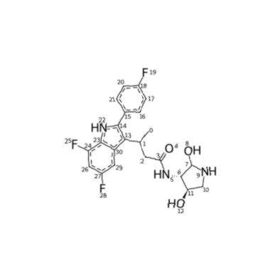 CC(CC(=O)N[C@@H]1C(O)NC[C@H]1O)c1c(-c2ccc(F)cc2)[nH]c2c(F)cc(F)cc12